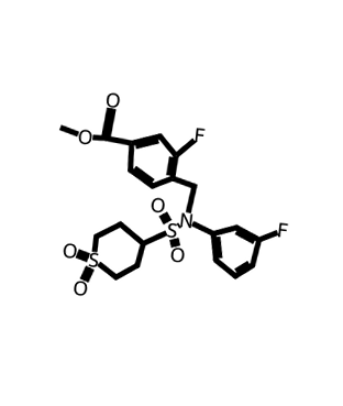 COC(=O)c1ccc(CN(c2cccc(F)c2)S(=O)(=O)C2CCS(=O)(=O)CC2)c(F)c1